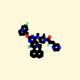 C#Cc1cccc2cccc(-c3ncc4c(N(C)[C@@H]5CCN(C(=O)/C(F)=C/c6cnccn6)[C@@H]5C)nc(OC[C@@]56CCCN5C[C@H](F)C6)nc4c3F)c12